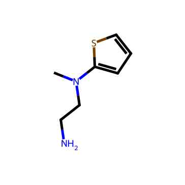 CN(CCN)c1cccs1